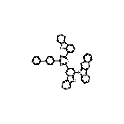 c1ccc(-c2ccc(-c3nc(-c4cc(-n5c6ccccc6c6cc7ccccc7cc65)c5oc6ccccc6c5c4)nc(-c4cccc5c4oc4ccccc45)n3)cc2)cc1